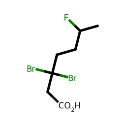 CC(F)CCC(Br)(Br)CC(=O)O